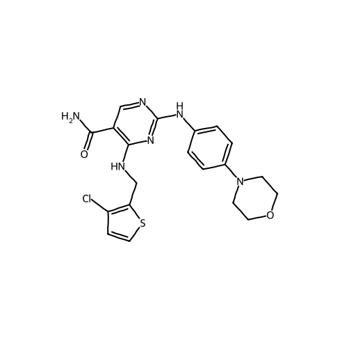 NC(=O)c1cnc(Nc2ccc(N3CCOCC3)cc2)nc1NCc1sccc1Cl